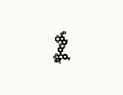 CCOc1cc2nccc(Oc3ccc(N(C(=O)C4(C(N)=O)CC4)c4ccc(F)cc4)cc3F)c2c2c1OCCO2